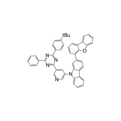 CC(C)(C)c1ccc(-c2nc(-c3ccccc3)nc(-c3cncc(-n4c5ccccc5c5ccc(-c6cccc7c6oc6ccccc67)cc54)c3)n2)cc1